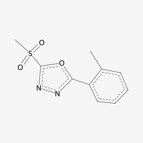 Cc1ccccc1-c1nnc(S(C)(=O)=O)o1